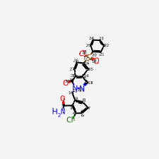 NC(=O)c1c(Cl)cccc1Cn1ncc2cc(S(=O)(=O)c3ccccc3)ccc2c1=O